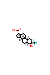 C[C@]12CC[C@H]3[C@@H](CC[C@@H]4C[C@@](O)(C(F)(F)F)CC[C@@H]43)[C@@H]1CC[C@@H]2C(=O)O